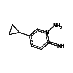 N=c1ccc(C2CC2)cn1N